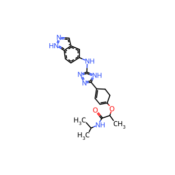 CC(C)NC(=O)C(C)OC1=CC=C(c2nnc(Nc3ccc4[nH]ncc4c3)[nH]2)CC1